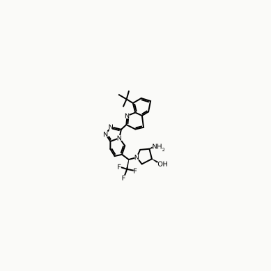 CC(C)(C)c1cccc2ccc(-c3nnc4ccc([C@@H](N5C[C@@H](N)[C@@H](O)C5)C(F)(F)F)cn34)nc12